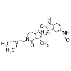 CCN(CC)CCN1CCc2[nH]c(/C=C3\C(=O)Nc4ccc(NC=O)cc43)c(C)c2C1=O